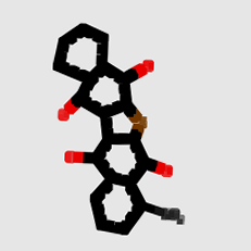 O=c1c2ccccc2c(=O)c2c1sc1c(=O)c3c([N+](=O)[O-])cccc3c(=O)c12